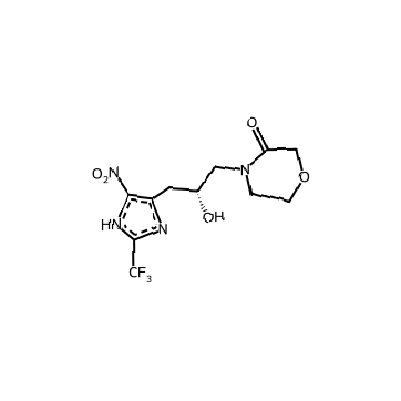 O=C1COCCN1C[C@H](O)Cc1nc(C(F)(F)F)[nH]c1[N+](=O)[O-]